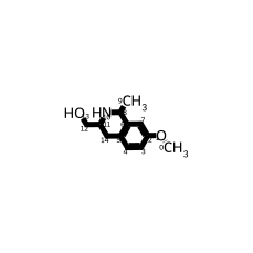 COc1ccc2c(c1)C(C)NC(CO)C2